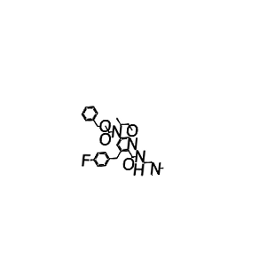 C[C@H]1COc2nc(C(=O)NCCN(C)C)c(Cc3ccc(F)cc3)cc2N1C(=O)OCc1ccccc1